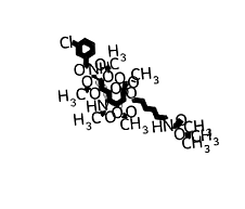 COC(=O)[C@@]1(OCCCCCCNC(=O)OC(C)(C)C)C[C@H](OC(C)=O)[C@@H](NC(C)=O)[C@H]([C@H](OC(C)=O)[C@@H](CNC(=O)c2cccc(Cl)c2)OC(C)=O)O1